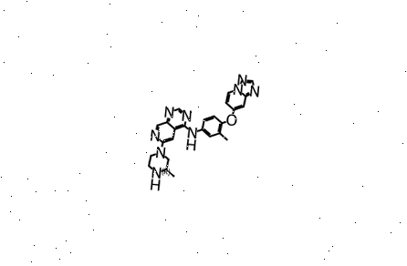 Cc1cc(Nc2ncnc3cnc(N4CCN[C@H](C)C4)cc23)ccc1Oc1ccn2ncnc2c1